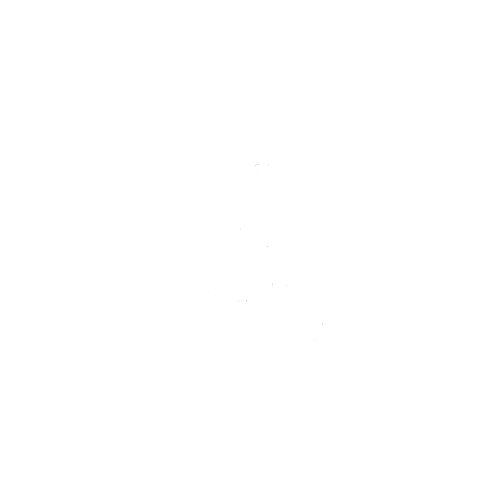 CC(=O)OC(C)C(=O)OC(C)C(=O)OCF